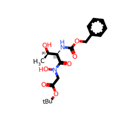 C[C@@H](O)[C@H](NC(=O)OCc1ccccc1)C(=O)N(O)CC(=O)OC(C)(C)C